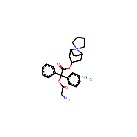 Cl.NCC(=O)OC(C(=O)OC1CC2CCC(C1)[N+]21CCCC1)(c1ccccc1)c1ccccc1.[Cl-]